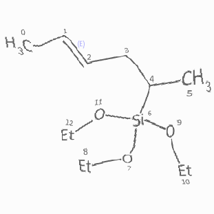 C/C=C/CC(C)[Si](OCC)(OCC)OCC